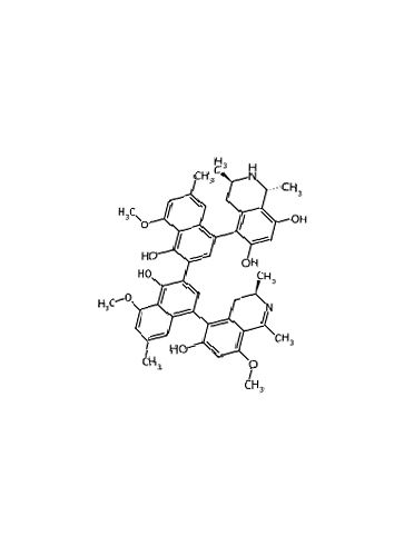 COc1cc(O)c(-c2cc(-c3cc(-c4c(O)cc(O)c5c4C[C@@H](C)N[C@@H]5C)c4cc(C)cc(OC)c4c3O)c(O)c3c(OC)cc(C)cc23)c2c1C(C)=N[C@H](C)C2